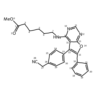 COC(=O)CCCCCNc1ncnc2oc(-c3ccccc3)c(-c3ccc(CC#N)cc3)c12